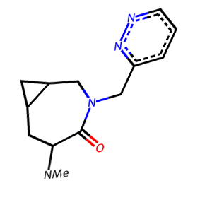 CNC1CC2CC2CN(Cc2cccnn2)C1=O